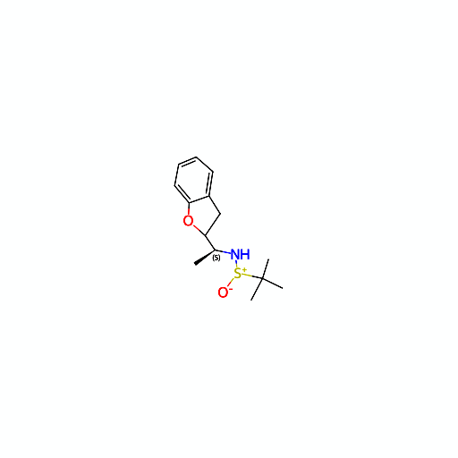 C[C@H](N[S+]([O-])C(C)(C)C)C1Cc2ccccc2O1